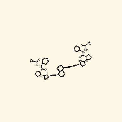 O=C(N[C@@H](C(=O)N1CCC[C@@H]1c1ncc(C#CC#Cc2cccc3c(C#Cc4cnc([C@H]5CCCN5C(=O)[C@H](NC(=O)C5CC5)c5ccccc5)[nH]4)cccc23)[nH]1)c1ccccc1)C1CC1